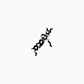 CCCCO[C@@H]1[C@@H](OCCCC)[C@@]2(c3ccc(Cl)c(Cc4ccc(OCC)c(F)c4)c3)OC[C@](C(=O)OC(C)C)(O2)[C@H]1OCCCC